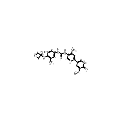 CCOc1cc(-c2cc(C)c(NC(=O)Nc3ccc(OC4(C)COC4)c(C(F)(F)F)c3)cn2)c[nH]c1=O